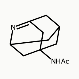 CC(=O)NC12CC3=NC(CC(C3)C1)C2